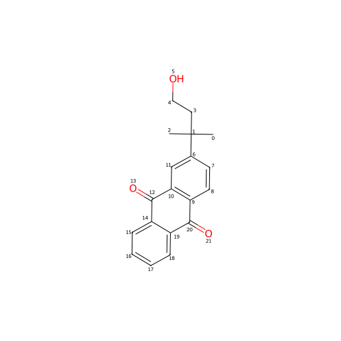 CC(C)(CCO)c1ccc2c(c1)C(=O)c1ccccc1C2=O